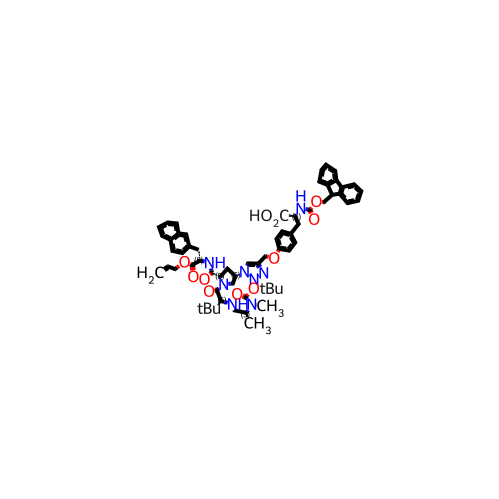 C=CCOC(=O)[C@H](Cc1ccc2ccccc2c1)NC(=O)[C@@H]1C[C@H](n2cc(COc3ccc(C[C@H](NC(=O)OCC4c5ccccc5-c5ccccc54)C(=O)O)cc3)nn2)CN1C(=O)[C@@H](NC[C@H](C)N(C)C(=O)OC(C)(C)C)C(C)(C)C